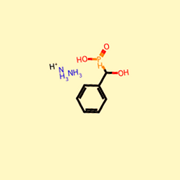 N.N.O=[PH](O)C(O)c1ccccc1.[H+]